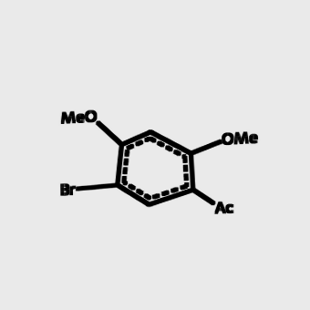 COc1cc(OC)c(C(C)=O)cc1Br